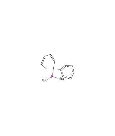 CC(C)(C)P(C(C)(C)C)C1(c2ccccc2)C=CC=CC1